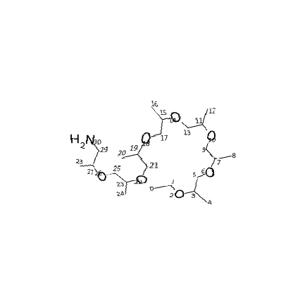 CCOC(C)COC(C)COC(C)COC(C)COC(C)COC(C)COC(C)CN